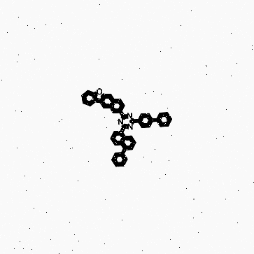 c1ccc(-c2ccc(-c3nc(-c4ccc5cc6oc7ccccc7c6cc5c4)nc(-c4cccc5c(-c6ccccc6)cccc45)n3)cc2)cc1